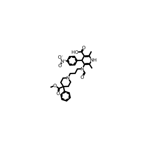 COC(=O)C1(c2ccccc2)CCN(CCCN(C=O)C2=C(C)NC(C)=C(C(=O)O)C2c2ccc([N+](=O)[O-])cc2)CC1